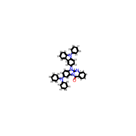 O=c1c2ccccc2nc2n(-c3ccc4c(c3)c3ccccc3n4-c3ccccc3)c3ccc(N(c4ccccc4)c4ccccc4)cc3n12